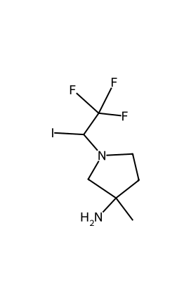 CC1(N)CCN(C(I)C(F)(F)F)C1